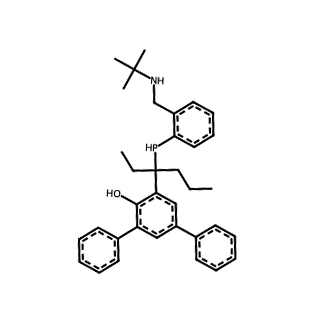 CCCC(CC)(Pc1ccccc1CNC(C)(C)C)c1cc(-c2ccccc2)cc(-c2ccccc2)c1O